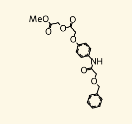 COC(=O)COC(=O)COc1ccc(NC(=O)COCc2ccccc2)cc1